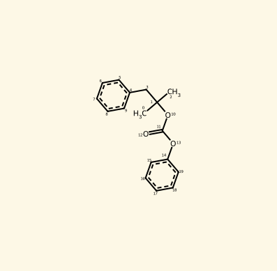 CC(C)(Cc1ccccc1)OC(=O)Oc1ccccc1